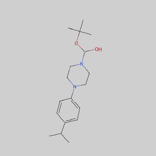 CC(C)c1ccc(N2CCN(C(O)OC(C)(C)C)CC2)cc1